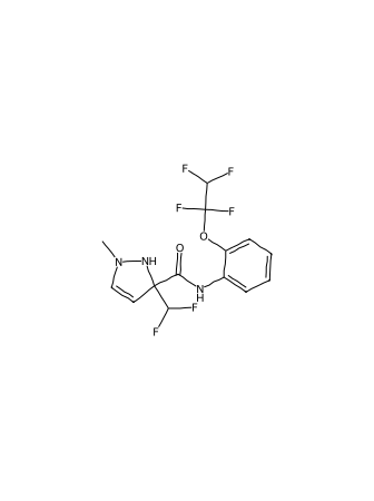 CN1C=CC(C(=O)Nc2ccccc2OC(F)(F)C(F)F)(C(F)F)N1